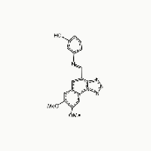 COc1cc2cc(C=Nc3cccc(O)c3)c3nnnn3c2cc1OC